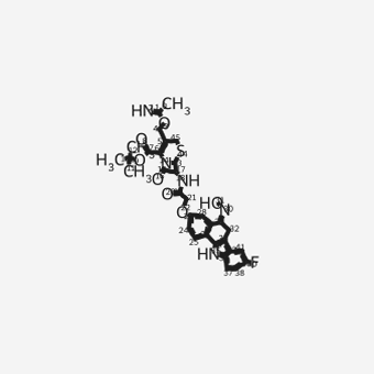 CC(=N)OCC1=C(C(=O)OC(C)(C)C)N2C(=O)C(NC(=O)COc3ccc4c(c3)/C(=N\O)Cc3c-4[nH]c4ccc(F)cc34)C2SC1